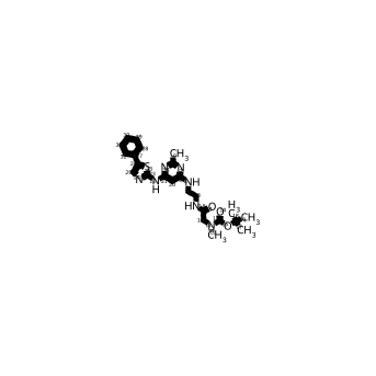 Cc1nc(NCCNC(=O)CN(C)C(=O)OC(C)(C)C)cc(Nc2ncc(-c3ccccc3)s2)n1